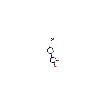 COC(=O)c1ccc(C2CCC(O[Si](C)(C)C(C)(C)C)CC2)[nH]c1=O